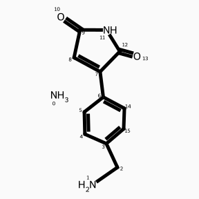 N.NCc1ccc(C2=CC(=O)NC2=O)cc1